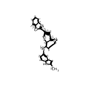 Cc1cc2cc(Nc3ccnc4cc(-c5nc6ccccc6o5)sc34)ccc2[nH]1